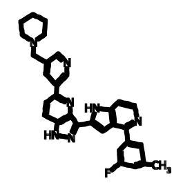 Cc1cc(F)cc(-c2nccc3[nH]c(-c4n[nH]c5ccc(-c6cncc(CN7CCCCC7)c6)nc45)cc23)c1